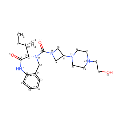 CC[C@H](C)[C@H]1C(=O)Nc2ccccc2CN1C(=O)N1CC(N2CCN(CCO)CC2)C1